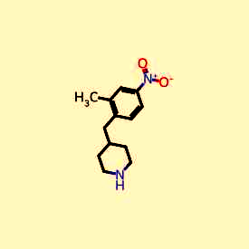 Cc1cc([N+](=O)[O-])ccc1CC1CCNCC1